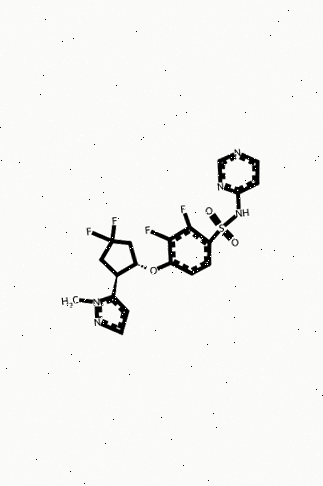 Cn1nccc1[C@H]1CC(F)(F)C[C@@H]1Oc1ccc(S(=O)(=O)Nc2ccncn2)c(F)c1F